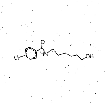 O=C(NCCCCCCO)c1ccc(Cl)cc1